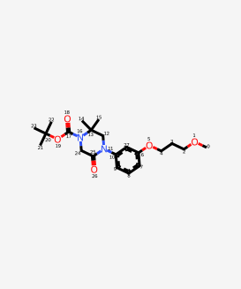 COCCCOc1cccc(N2CC(C)(C)N(C(=O)OC(C)(C)C)CC2=O)c1